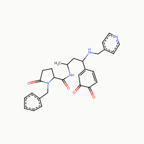 CC(CC(NCc1ccncc1)C1=CC(=O)C(=O)C=C1)NC(=O)C1CCC(=O)N1Cc1ccccc1